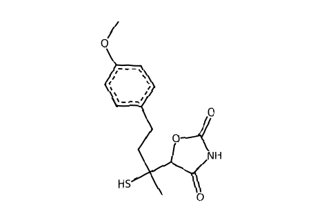 COc1ccc(CCC(C)(S)C2OC(=O)NC2=O)cc1